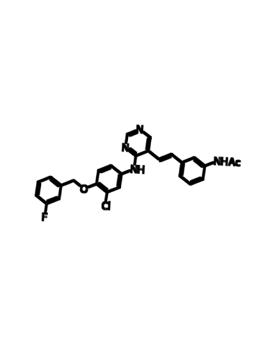 CC(=O)Nc1cccc(/C=C/c2cncnc2Nc2ccc(OCc3cccc(F)c3)c(Cl)c2)c1